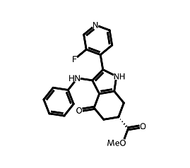 COC(=O)[C@@H]1CC(=O)c2c([nH]c(-c3ccncc3F)c2Nc2ccccc2)C1